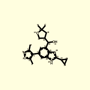 Cc1noc(C)c1-c1cc(C(O)C2COC(C)(C)C2)c2nc(C3CC3)[nH]c2c1